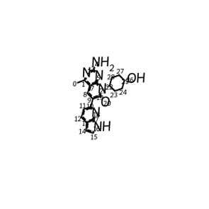 Cc1nc(N)nc2c1cc(-c1ccc3cc[nH]c3n1)c(=O)n2[C@H]1CC[C@@H](O)CC1